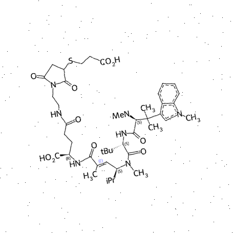 CN[C@H](C(=O)N[C@H](C(=O)N(C)[C@H](/C=C(\C)C(=O)N[C@H](CCC(=O)NCCN1C(=O)CC(SCCC(=O)O)C1=O)C(=O)O)C(C)C)C(C)(C)C)C(C)(C)c1cn(C)c2ccccc12